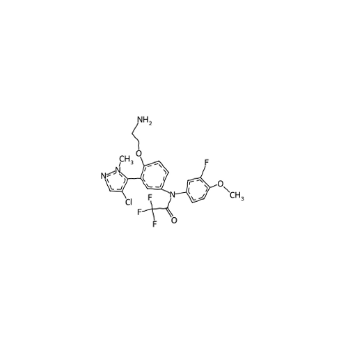 COc1ccc(N(C(=O)C(F)(F)F)c2ccc(OCCN)c(-c3c(Cl)cnn3C)c2)cc1F